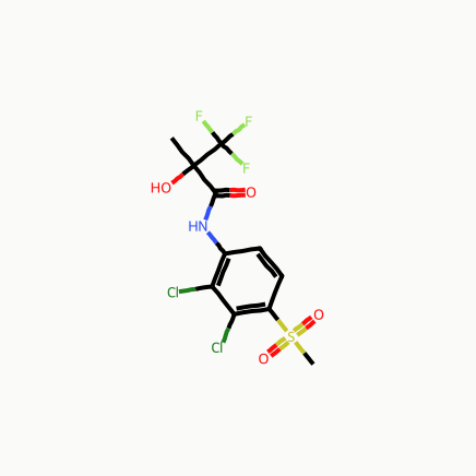 CC(O)(C(=O)Nc1ccc(S(C)(=O)=O)c(Cl)c1Cl)C(F)(F)F